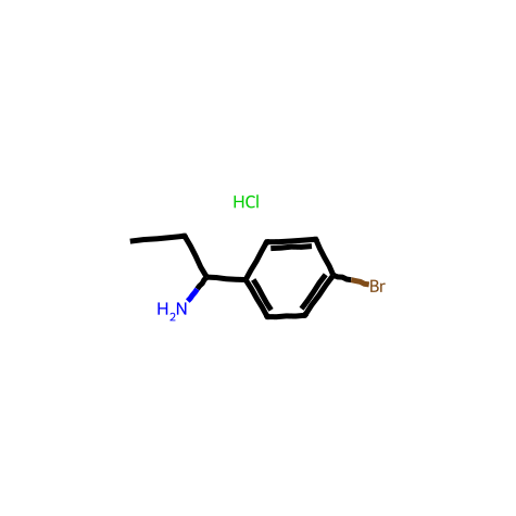 CCC(N)c1ccc(Br)cc1.Cl